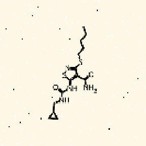 CCCCCSc1nsc(NC(=O)NCC2CC2)c1C(N)=O